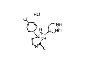 CC1=NC=CC(NCN2CCNCC2)(c2ccc(Cl)cc2)N1.Cl.Cl